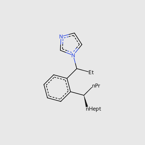 CCCCCCC[C@H](CCC)c1ccccc1C(CC)n1ccnc1